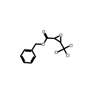 O=C(OCc1ccccc1)C1OC1C(Cl)(Cl)Cl